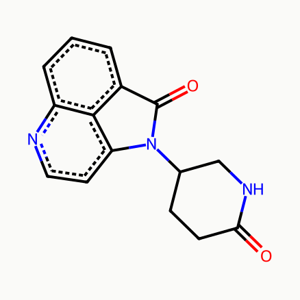 O=C1CCC(N2C(=O)c3cccc4nccc2c34)CN1